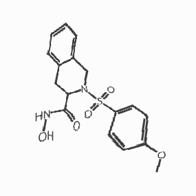 COc1ccc(S(=O)(=O)N2Cc3ccccc3CC2C(=O)NO)cc1